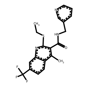 CCSc1nc2cc(C(F)(F)F)ccc2c(C)c1C(=O)NCc1cccnc1